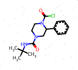 CC(C)(C)NC(=O)N1CCN(C(=O)Cl)C(c2ccccc2)C1